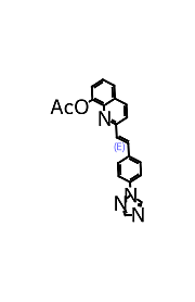 CC(=O)Oc1cccc2ccc(/C=C/c3ccc(-n4cncn4)cc3)nc12